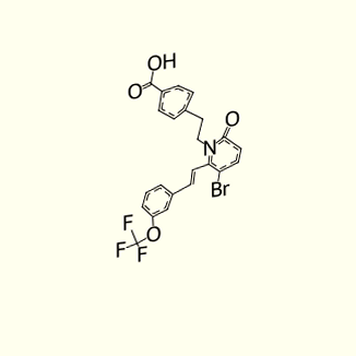 O=C(O)c1ccc(CCn2c(/C=C/c3cccc(OC(F)(F)F)c3)c(Br)ccc2=O)cc1